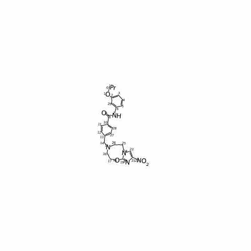 CC(C)Oc1cccc(NC(=O)c2ccc(CN3CCOc4nc([N+](=O)[O-])cn4CC3)cc2)c1